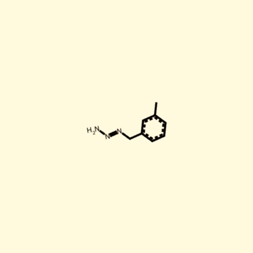 Cc1cccc(CN=NN)c1